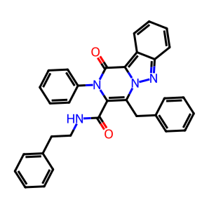 O=C(NCCc1ccccc1)c1c(Cc2ccccc2)n2nc3ccccc3c2c(=O)n1-c1ccccc1